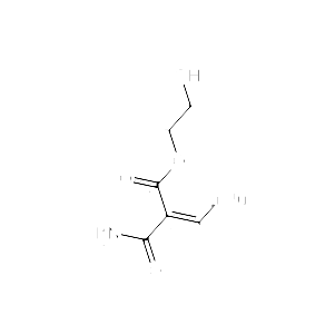 CCCCC=C(C(N)=O)C(=O)OCCO